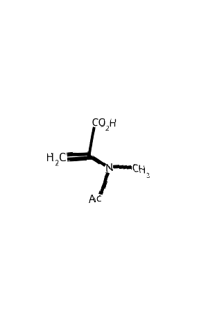 C=C(C(=O)O)N(C)C(C)=O